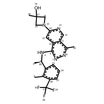 Cc1c([C@@H](C)Nc2nnc(C)c3cnc(N4CC(C)(O)C4)cc23)cccc1C(F)(F)F